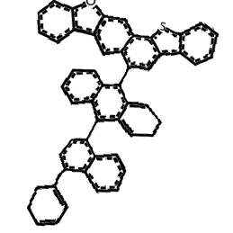 C1=CCCC(c2ccc(-c3c4c(c(-c5cc6c7ccccc7sc6c6cc7oc8ccccc8c7cc56)c5ccccc35)=CCCC=4)c3ccccc23)=C1